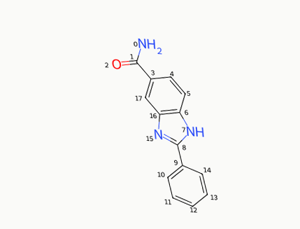 NC(=O)c1ccc2[nH]c(-c3ccccc3)nc2c1